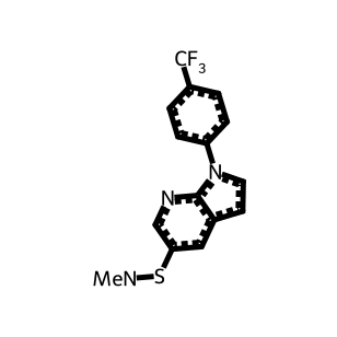 CNSc1cnc2c(ccn2-c2ccc(C(F)(F)F)cc2)c1